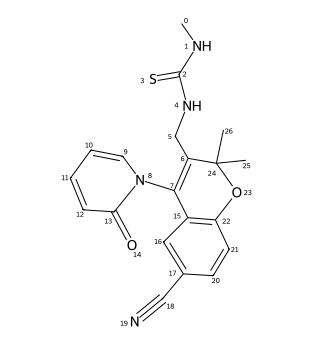 CNC(=S)NCC1=C(n2ccccc2=O)c2cc(C#N)ccc2OC1(C)C